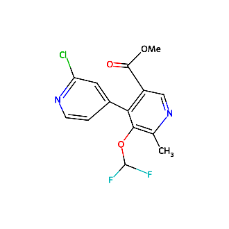 COC(=O)c1cnc(C)c(OC(F)F)c1-c1ccnc(Cl)c1